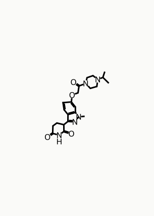 CC(C)N1CCN(C(=O)COc2ccc3c(C4CCC(=O)NC4=O)nn(C)c3c2)CC1